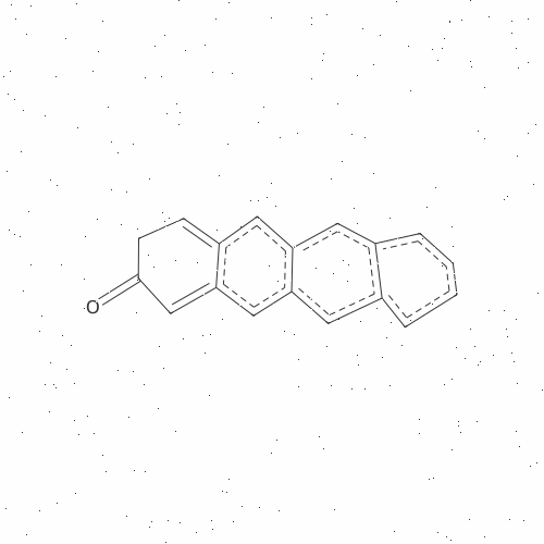 O=C1C=c2cc3cc4ccccc4cc3cc2=CC1